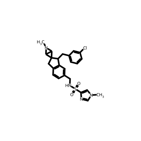 CN1C2C1C21Cc2ccc(CNS(=O)(=O)c3cn(C)cn3)cc2C1Cc1cccc(Cl)c1